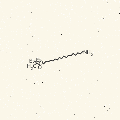 C=C(C(=O)OCCCCCCCCCCCCCCCCCCN)C(CC)CC